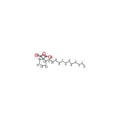 CCCCCCCCCCCCC1CCCCC12C(=O)OC2=O